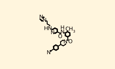 Cc1ccc(C(=O)N2CCC(c3ccc(C#N)cc3)CC2)cc1NC(=O)c1ccc(NCCCn2ccnc2)nc1